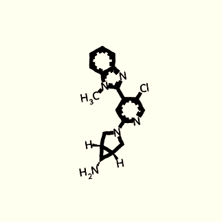 Cn1c(-c2cc(N3C[C@@H]4[C@H](N)[C@@H]4C3)ncc2Cl)nc2ccccc21